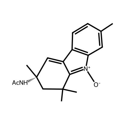 CC(=O)N[C@]1(C)C=C2C(=[N+]([O-])c3cc(C)ccc32)C(C)(C)C1